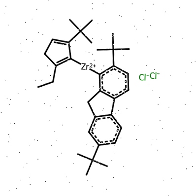 CCC1=[C]([Zr+2][c]2c(C(C)(C)C)ccc3c2Cc2cc(C(C)(C)C)ccc2-3)C(C(C)(C)C)=CC1.[Cl-].[Cl-]